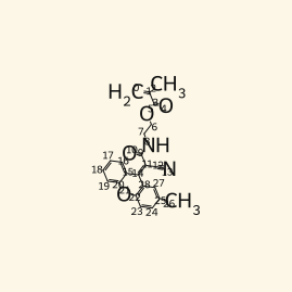 C=C(C)C(=O)OCCNC(=O)/C(C#N)=C1\c2ccccc2Oc2ccc(C)cc21